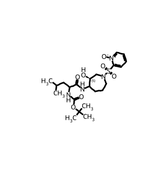 CC(C)CC(NC(=O)OC(C)(C)C)C(=O)NC1CCCN(S(=O)(=O)c2cccc[n+]2[O-])C[C@@H]1O